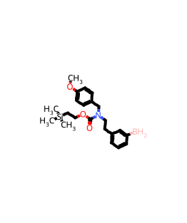 Bc1cccc(CCN(Cc2ccc(OC)cc2)C(=O)OCC[Si](C)(C)C)c1